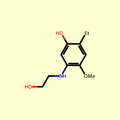 CCc1cc(OC)c(NCCO)cc1O